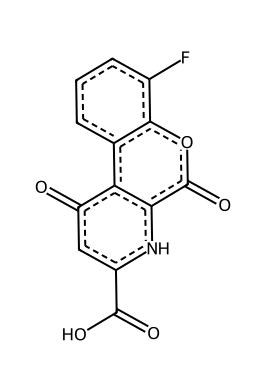 O=C(O)c1cc(=O)c2c([nH]1)c(=O)oc1c(F)cccc12